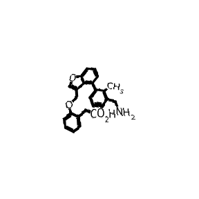 Cc1c(CN)cccc1-c1cccc2occ(COc3ccccc3CC(=O)O)c12